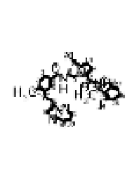 Cc1ccc(C(=O)NCCn2c(C#N)ccc2C(=O)N[C@@H](C)c2c(F)cccc2Cl)cc1CCc1cnc2cccnn12